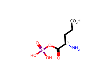 N[C@@H](CCC(=O)O)C(=O)OP(=O)(O)O